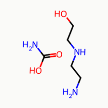 NC(=O)O.NCCNCCO